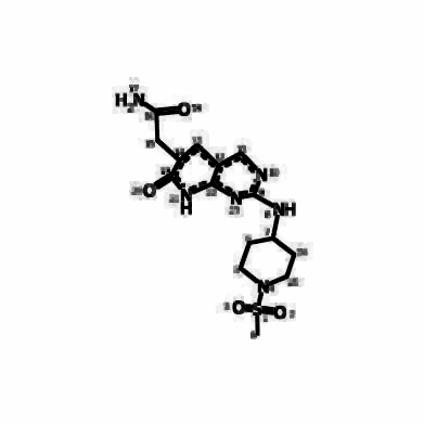 CS(=O)(=O)N1CCC(Nc2ncc3cc(CC(N)=O)c(=O)[nH]c3n2)CC1